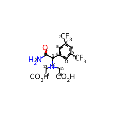 NC(=O)C(c1cc(C(F)(F)F)cc(C(F)(F)F)c1)N(CC(=O)O)CC(=O)O